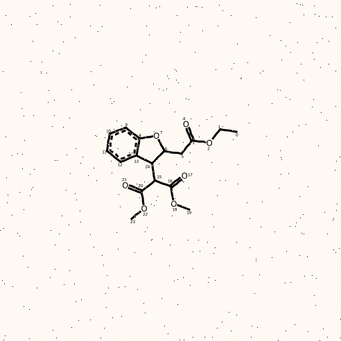 CCOC(=O)CC1Oc2ccccc2C1C(C(=O)OC)C(=O)OC